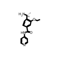 CCOc1cc(C(=O)Nc2ccncc2)ccc1[C@@H](C)N